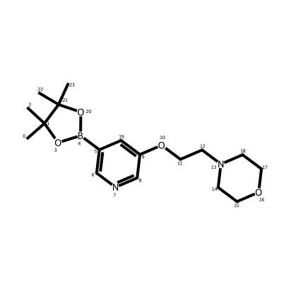 CC1(C)OB(c2cncc(OCCN3CCOCC3)c2)OC1(C)C